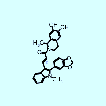 CC1c2cc(O)c(O)cc2CCN1C(=O)/C=C/c1c(-c2ccc3c(c2)OCO3)n(C)c2ccccc12